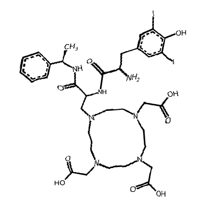 C[C@@H](NC(=O)C(CN1CCN(CC(=O)O)CCN(CC(=O)O)CCN(CC(=O)O)CC1)NC(=O)C(N)Cc1cc(I)c(O)c(I)c1)c1ccccc1